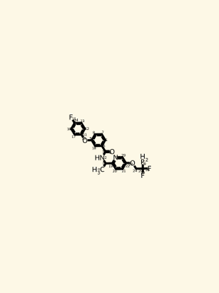 CC(NC(=O)c1cccc(Oc2ccc(F)cc2)c1)c1ccc(OCC(F)(F)P)cn1